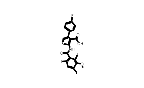 COc1c(I)cc(I)c(C(=O)Nc2scc(-c3ccc(F)cc3)c2C(=O)O)c1I